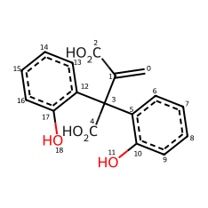 C=C(C(=O)O)C(C(=O)O)(c1ccccc1O)c1ccccc1O